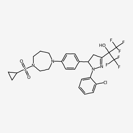 O=S(=O)(C1CC1)N1CCCN(c2ccc(C3CC(C(O)(C(F)(F)F)C(F)(F)F)=NN3c3ccccc3Cl)cc2)CC1